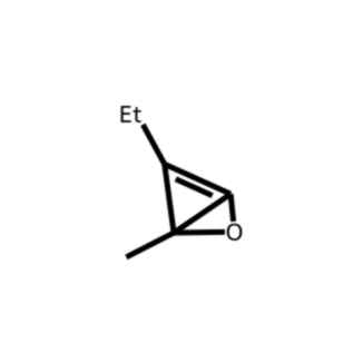 CCC1=C2OC12C